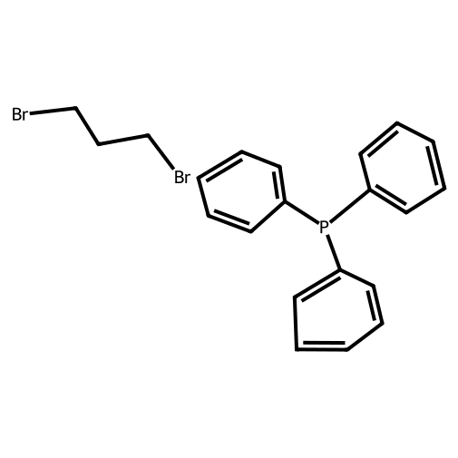 BrCCCBr.c1ccc(P(c2ccccc2)c2ccccc2)cc1